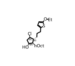 [CH2]COc1ccc(CCC[C@@H]2[C@@H](CCCCCCCC)[C@H](O)C[C@H]2Cl)s1